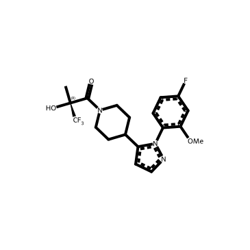 COc1cc(F)ccc1-n1nccc1C1CCN(C(=O)[C@@](C)(O)C(F)(F)F)CC1